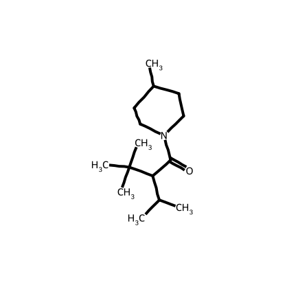 CC1CCN(C(=O)C(C(C)C)C(C)(C)C)CC1